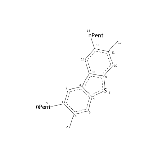 CCCCCc1cc2c(cc1C)sc1cc(C)c(CCCCC)cc12